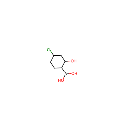 OB(O)C1CCC(Cl)CC1O